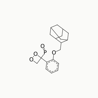 O=PC1(c2ccccc2OCC2C3CC4CC(C3)CC2C4)COO1